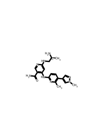 Cc1nc(Nc2cc(NC[C@H](C)N)ncc2C(N)=O)ccc1-c1cnn(C)c1